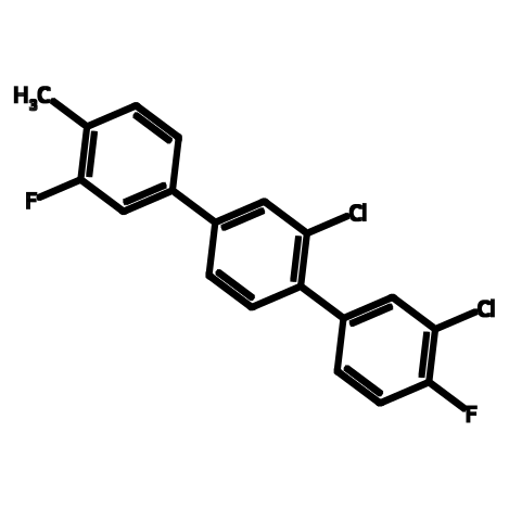 Cc1ccc(-c2ccc(-c3ccc(F)c(Cl)c3)c(Cl)c2)cc1F